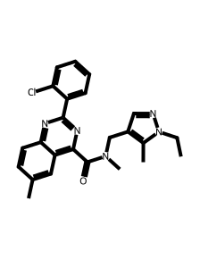 CCn1ncc(CN(C)C(=O)c2nc(-c3ccccc3Cl)nc3ccc(C)cc23)c1C